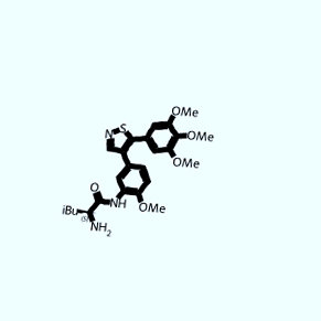 CCC(C)[C@H](N)C(=O)Nc1cc(-c2cnsc2-c2cc(OC)c(OC)c(OC)c2)ccc1OC